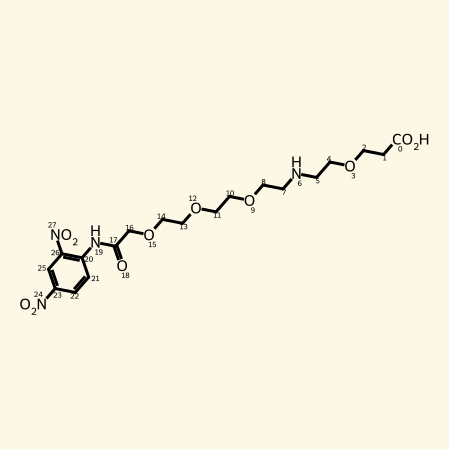 O=C(O)CCOCCNCCOCCOCCOCC(=O)Nc1ccc([N+](=O)[O-])cc1[N+](=O)[O-]